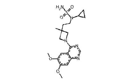 COc1cc2ncnc(N3CC(C)(CCN(C4CC4)S(N)(=O)=O)C3)c2cc1OC